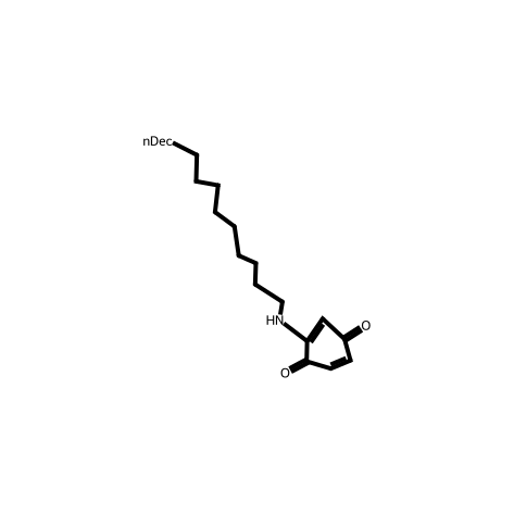 CCCCCCCCCCCCCCCCCCCNC1=CC(=O)C=CC1=O